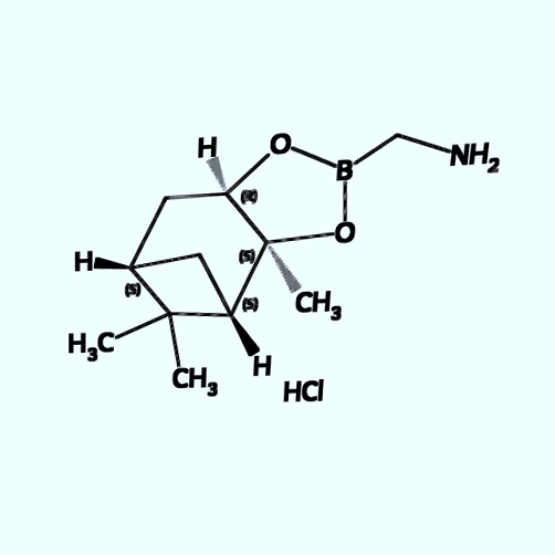 CC1(C)[C@@H]2C[C@H]3OB(CN)O[C@@]3(C)[C@H]1C2.Cl